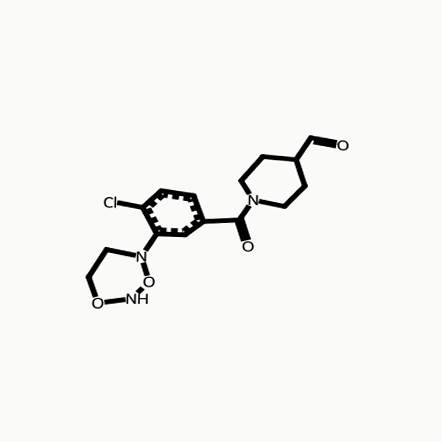 O=CC1CCN(C(=O)c2ccc(Cl)c(N3CCONO3)c2)CC1